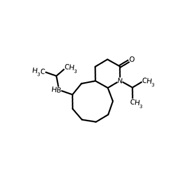 CC(C)BC1CCCCCC2C(CCC(=O)N2C(C)C)C1